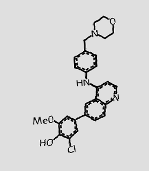 COc1cc(-c2ccc3nccc(Nc4ccc(CN5CCOCC5)cc4)c3c2)cc(Cl)c1O